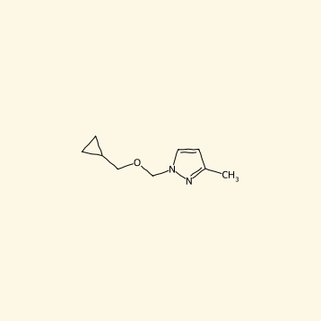 Cc1ccn(COCC2CC2)n1